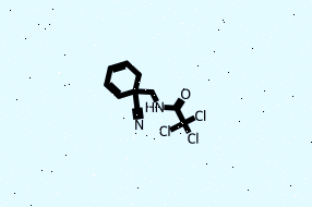 N#CC1(CNC(=O)C(Cl)(Cl)Cl)C=CC=CC1